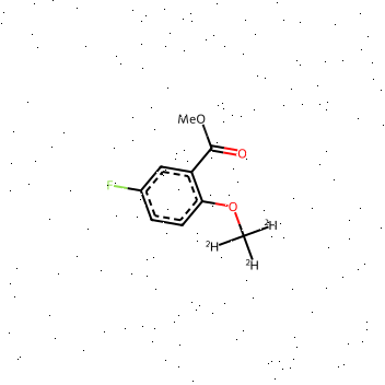 [2H]C([2H])([2H])Oc1ccc(F)cc1C(=O)OC